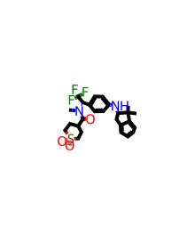 CN(C(=O)C1CCS(=O)(=O)CC1)[C@@H](c1ccc(NC2Cc3ccccc3C2(C)C)cc1)C(F)(F)F